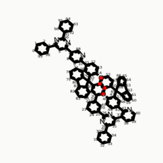 c1ccc(-c2cc(-c3ccc(-c4ccc5c(c4)C4(c6cc(-c7cccc(-c8nc(-c9ccccc9)cc(-c9cccnc9-c9ccc%10c(c9)C9(c%11ccccc%11O%10)c%10ccccc%10-c%10ccccc%109)n8)c7)ccc6O5)c5ccccc5-c5ccccc54)nc3)nc(-c3ccccc3)n2)cc1